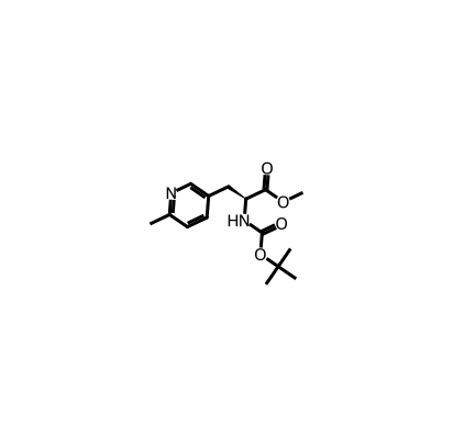 COC(=O)[C@H](Cc1ccc(C)nc1)NC(=O)OC(C)(C)C